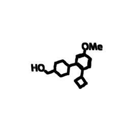 COc1ccc(C2CCC2)c(C2CCC(CO)CC2)c1